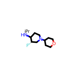 CC(C)NC1CCN(C2CCOCC2)C[C@@H]1F